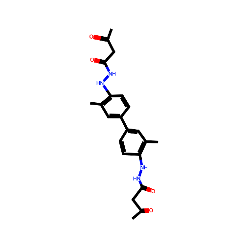 CC(=O)CC(=O)NNc1ccc(-c2ccc(NNC(=O)CC(C)=O)c(C)c2)cc1C